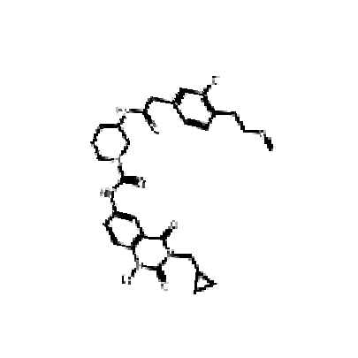 C=NCCc1ccc(CC(=O)NC2CCCN(C(=O)Nc3ccc4c(c3)c(=O)n(CC3CC3)c(=O)n4CC)C2)cc1Cl